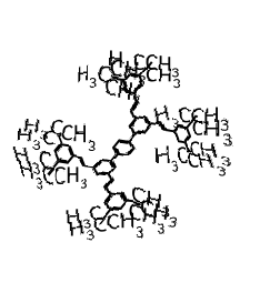 CC(C)(C)c1cc(C=Cc2cc(C=Cc3cc(C(C)(C)C)cc(C(C)(C)C)c3)cc(-c3ccc(-c4cc(C=Cc5cc(C(C)(C)C)cc(C(C)(C)C)c5)cc(C=Cc5cc(C(C)(C)C)cc(C(C)(C)C)c5)c4)cc3)c2)cc(C(C)(C)C)c1